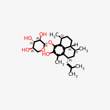 CC(C)=C[C@H]1C[C@H](C)[C@H]2CC[C@H](C)c3c(O[C@@H]4OC[C@@H](O)[C@H](O)[C@H]4O)c(O)c(C)c1c32